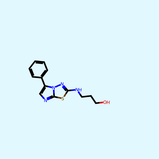 OCCCNc1nn2c(-c3ccccc3)cnc2s1